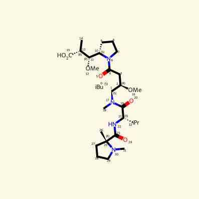 CC[C@H](C)[C@@H]([C@@H](CC(=O)N1CCC[C@H]1[C@H](OC)[C@@H](C)C(=O)O)OC)N(C)C(=O)[C@@H](NC(=O)[C@@]1(C)CCCN1C)C(C)C